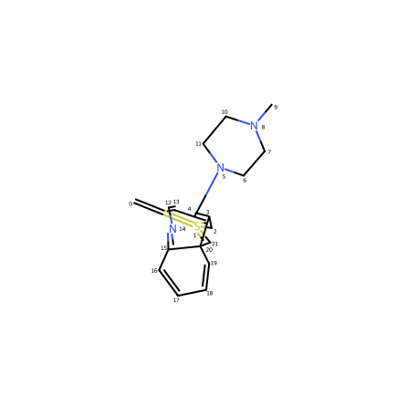 C=S1=CC2=C(N3CCN(C)CC3)C=CN=C3C=CC=CC32C=1